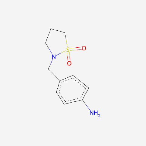 Nc1ccc(CN2CCCS2(=O)=O)cc1